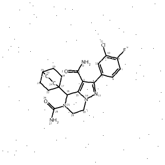 NC(=O)c1c(-c2ccc(F)c(Cl)c2)nn2c1C(C13CCC(CC1)CC3)N(C(N)=O)CC2